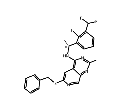 Cc1nc(N[C@H](C)c2cccc(C(F)F)c2F)c2cc(SCc3ccccc3)ncc2n1